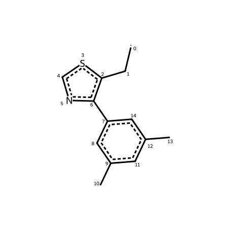 [CH2]Cc1scnc1-c1cc(C)cc(C)c1